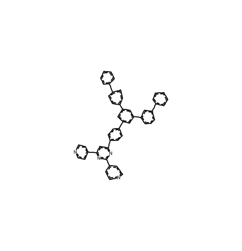 c1ccc(-c2ccc(-c3cc(-c4ccc(-c5cc(-c6ccncc6)nc(-c6ccncc6)n5)cc4)cc(-c4cccc(-c5ccccc5)c4)c3)cc2)cc1